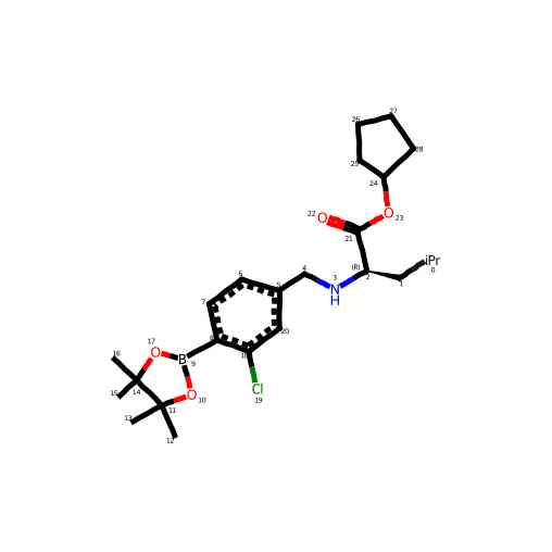 CC(C)C[C@@H](NCc1ccc(B2OC(C)(C)C(C)(C)O2)c(Cl)c1)C(=O)OC1CCCC1